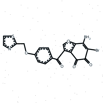 BC1=C(Br)C(=O)C(=O)c2c(C(=O)c3ccc(OCc4nccs4)cc3)coc21